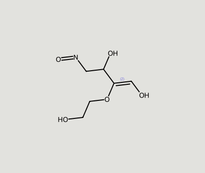 O=NCC(O)/C(=C/O)OCCO